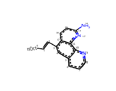 CCCCCCCCC=Cc1cc2cccnc2c2nc(N)ccc12